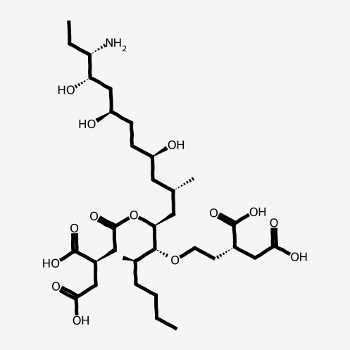 CCCC[C@@H](C)[C@@H](OCC[C@@H](CC(=O)O)C(=O)O)[C@H](C[C@@H](C)C[C@H](O)CC[C@@H](O)C[C@H](O)[C@@H](N)CC)OC(=O)C[C@@H](CC(=O)O)C(=O)O